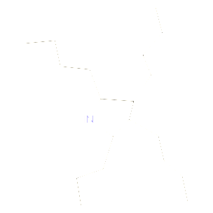 CCCCC1NC(CCC)C(CCCC)C1CCCC